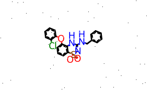 O=S1(=O)N=C(NCc2ccccc2)Nc2c(Oc3ccccc3Cl)cccc21